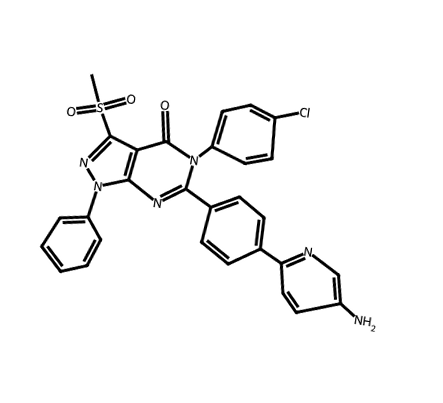 CS(=O)(=O)c1nn(-c2ccccc2)c2nc(-c3ccc(-c4ccc(N)cn4)cc3)n(-c3ccc(Cl)cc3)c(=O)c12